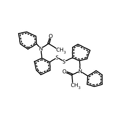 CC(=O)N(c1ccccc1)c1ccccc1SSc1ccccc1N(C(C)=O)c1ccccc1